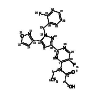 O=C(CO)N(CC(F)(F)F)c1nc(-c2cc(-c3ccon3)n(Cc3ccccc3F)n2)ncc1F